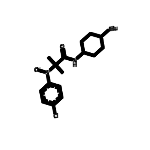 CC(C)(C)C1CCC(NC(=O)C(C)(C)[S+]([O-])c2ccc(Cl)cc2)CC1